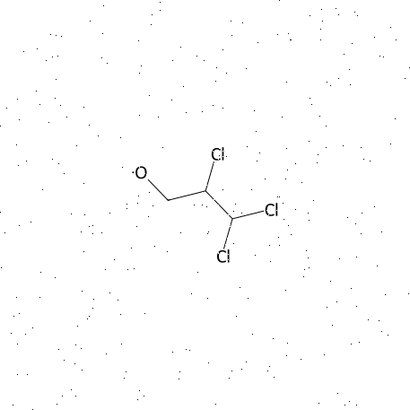 [O]CC(Cl)C(Cl)Cl